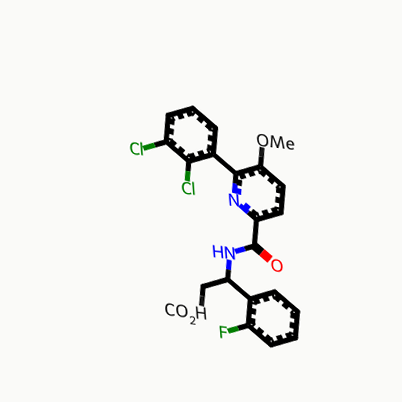 COc1ccc(C(=O)NC(CC(=O)O)c2ccccc2F)nc1-c1cccc(Cl)c1Cl